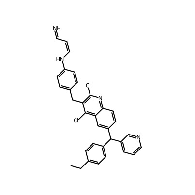 CCc1ccc(C(c2cccnc2)c2ccc3nc(Cl)c(Cc4ccc(N/C=C\C=N)cc4)c(Cl)c3c2)cc1